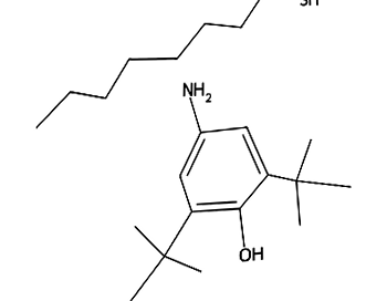 CC(C)(C)c1cc(N)cc(C(C)(C)C)c1O.CCCCCCCCS